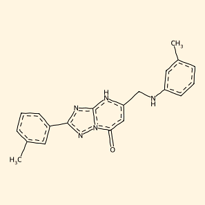 Cc1cccc(NCc2cc(=O)n3nc(-c4cccc(C)c4)nc3[nH]2)c1